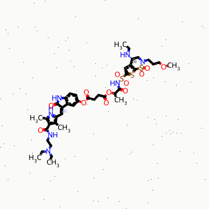 CCN[C@@H]1CN(CCCOC)S(=O)(=O)c2sc(S(=O)(=O)NC(=O)C(C)OC(=O)CCC(=O)Oc3ccc4c(c3)/C(=C/c3[nH]c(C)c(C(=O)NCCN(CC)CC)c3C)C(=O)N4)cc21